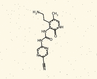 Cc1c[nH]c(=O)c(NC(=O)Nc2cnc(C#N)cn2)c1CCN